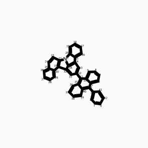 c1ccc(-c2c3ccccc3c(-c3cc4c5ccccc5n5c6ccc7ccccc7c6c(c3)c45)c3ccccc23)cc1